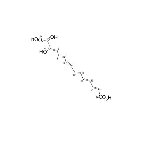 CCCCCCCCC(O)C(O)=CC=CC=CC=CC=CC=CC(=O)O